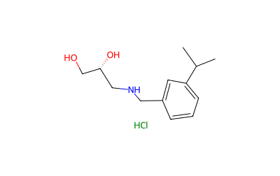 CC(C)c1cccc(CNC[C@@H](O)CO)c1.Cl